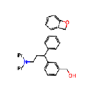 CC(C)N(CCC(c1ccccc1)c1cccc(CO)c1)C(C)C.c1ccc2c(c1)CO2